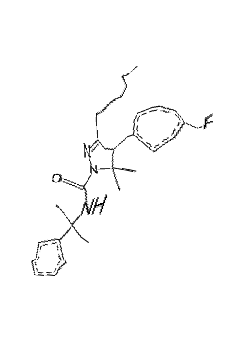 CCCCC1=NN(C(=O)NC(C)(C)c2ccccc2)C(C)(C)C1c1ccc(F)cc1